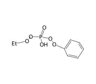 CCOOP(=O)(O)OOc1ccccc1